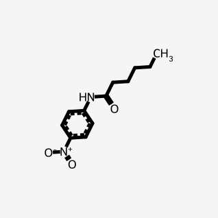 CCCCCC(=O)Nc1ccc([N+](=O)[O-])cc1